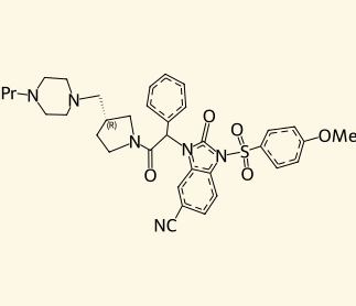 COc1ccc(S(=O)(=O)n2c(=O)n(C(C(=O)N3CC[C@H](CN4CCN(C(C)C)CC4)C3)c3ccccc3)c3cc(C#N)ccc32)cc1